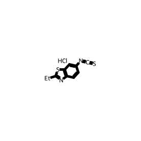 CCc1nc2ccc(N=C=S)cc2s1.Cl